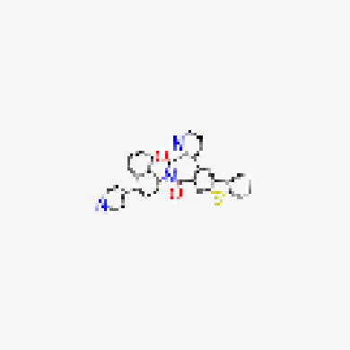 O=c1c2cc3sc4ccccc4c3cc2c2cccnc2c(=O)n1-c1ccc(-c2ccncc2)c2ccccc12